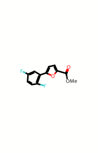 COC(=O)c1ccc(-c2cc(F)ccc2F)o1